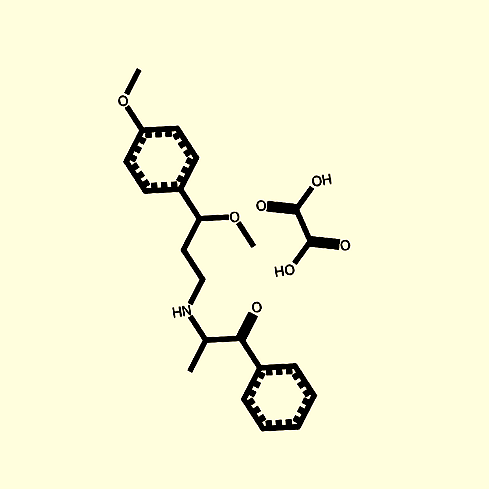 COc1ccc(C(CCNC(C)C(=O)c2ccccc2)OC)cc1.O=C(O)C(=O)O